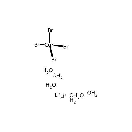 O.O.O.O.O.O.[Br][Cu-2]([Br])([Br])[Br].[Li+].[Li+]